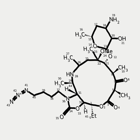 CC[C@H]1OC(=O)[C@H](C)C(=O)[C@H](C)[C@@H](O[C@@H]2O[C@H](C)CC(N)C2O)[C@](C)(OC)CC(C)N[C@H](C)[C@@H]2[C@@H]1OC(=O)N2CCCCN=[N+]=[N-]